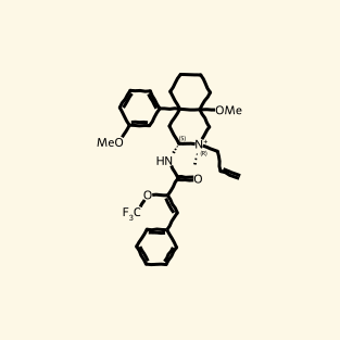 C=CC[N@+]1(C)CC2(OC)CCCCC2(c2cccc(OC)c2)C[C@H]1NC(=O)C(=Cc1ccccc1)OC(F)(F)F